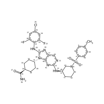 Cc1ccc(S(=O)(=O)N2CCC[C@@H](Nc3ncc4nc(Nc5c(F)cc(Cl)cc5F)n([C@H]5CC[C@H](C(N)=O)CC5)c4n3)C2)cc1